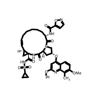 COc1ccc2c(O[C@@H]3C[C@H]4C(=O)N[C@]5(C(=O)NS(=O)(=O)C6CC6)C[C@H]5/C=C\CCCCC[C@H](NC(=O)c5ccno5)C(=O)N4C3)cc(OC(C)C)nc2c1C